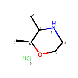 CC1NCCO[C@H]1C.Cl